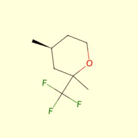 C[C@H]1CCOC(C)(C(F)(F)F)C1